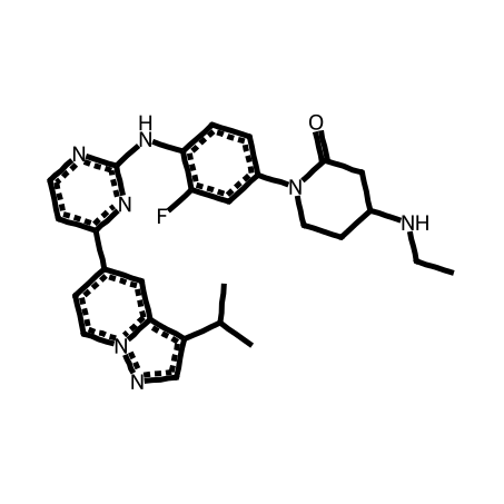 CCNC1CCN(c2ccc(Nc3nccc(-c4ccn5ncc(C(C)C)c5c4)n3)c(F)c2)C(=O)C1